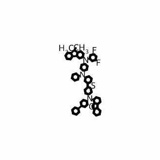 CC1(C)c2ccccc2-c2cc(N(c3ccc(N(c4ccccc4)c4ccc5sc6cc(N(c7ccc(-c8ccccc8)cc7)c7cccc8c7oc7ccccc78)ccc6c5c4)cc3)c3cc(F)cc(F)c3)ccc21